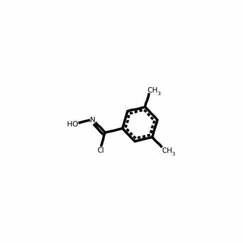 Cc1cc(C)cc(C(Cl)=NO)c1